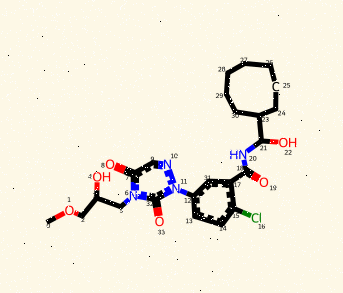 COCC(O)Cn1c(=O)cnn(-c2ccc(Cl)c(C(=O)NC(O)C3CCCCCCC3)c2)c1=O